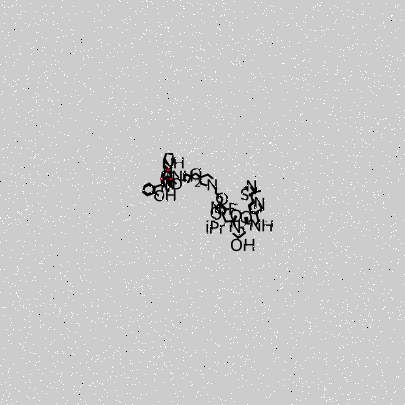 Cc1ncsc1-c1ccc([C@H](C)NC(=O)[C@@H]2C[C@@H](O)CN2C(=O)[C@@H](c2onc(OCCN3CCC(OC4CC(Oc5cc(N6C7CC[C@@H]6CN(c6cc(-c8ccccc8O)nnc6N)C7)ccn5)C4)CC3)c2F)C(C)C)cn1